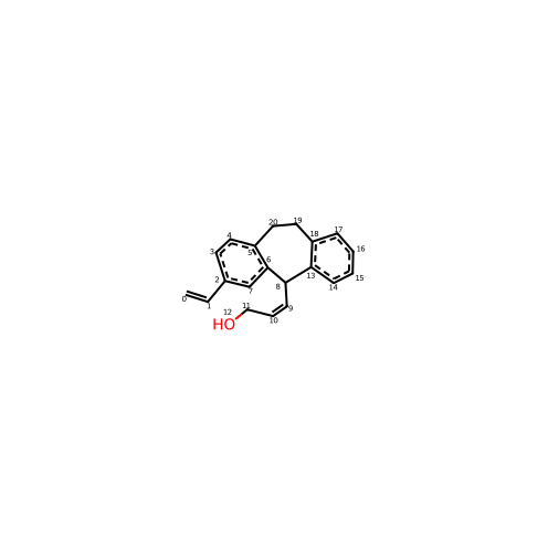 C=Cc1ccc2c(c1)C(/C=C\CO)c1ccccc1CC2